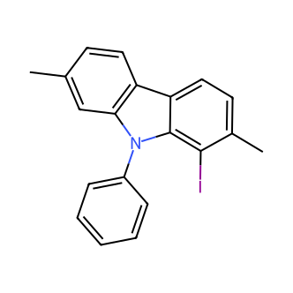 Cc1ccc2c3ccc(C)c(I)c3n(-c3ccccc3)c2c1